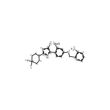 COc1cc(OCc2ncccc2C(F)(F)F)ccc1-c1[nH]c(C2CCC(F)(F)CC2)nc1Cl